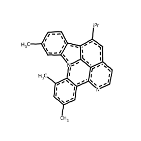 Cc1cc(C)c2c(c1)c1nccc3cc(C(C)C)c4c5ccc(C)cc5n2c4c31